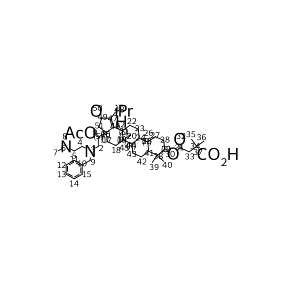 CC(=O)O[C@H](CN(CCN(C)C)Cc1ccccc1)[C@@]12CC[C@]3(C)[C@H](CCC4[C@@]5(C)CC[C@H](OC(=O)CC(C)(C)C(=O)O)C(C)(C)C5CC[C@]43C)C1=C(C(C)C)C(=O)C2